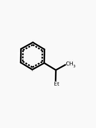 CCC(C)c1[c]cccc1